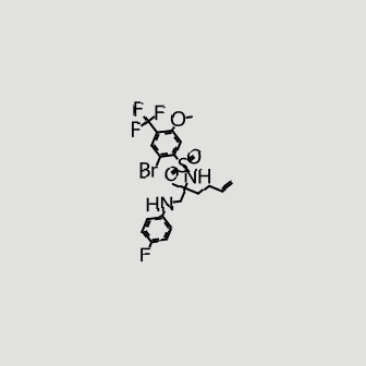 C=CCCC(C)(CNc1ccc(F)cc1)NS(=O)(=O)c1cc(OC)c(C(F)(F)F)cc1Br